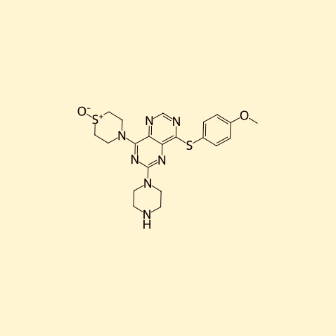 COc1ccc(Sc2ncnc3c(N4CC[S+]([O-])CC4)nc(N4CCNCC4)nc23)cc1